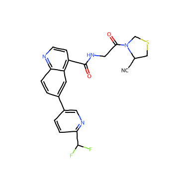 N#CC1CSCN1C(=O)CNC(=O)c1ccnc2ccc(-c3ccc(C(F)F)nc3)cc12